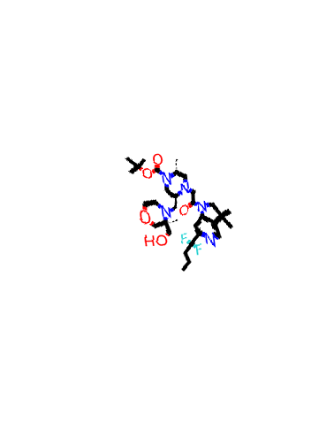 CCCC(F)(F)c1cc2c(cn1)C(C)(C)CN2C(=O)CN1C[C@@H](C)N(C(=O)OC(C)(C)C)C[C@@H]1CN1CCOC[C@]1(C)CO